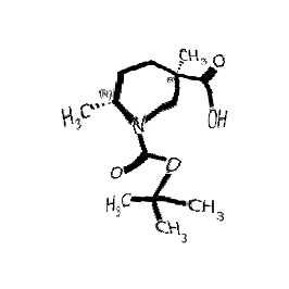 C[C@@H]1CC[C@@](C)(C(=O)O)CN1C(=O)OC(C)(C)C